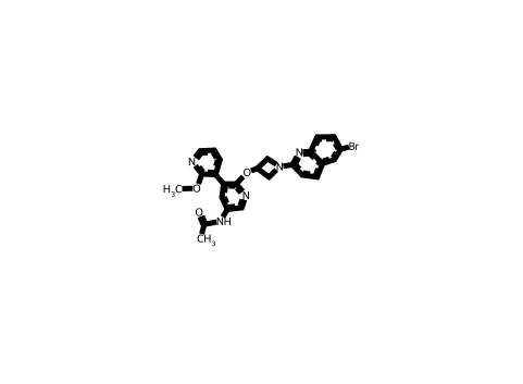 COc1ncccc1-c1cc(NC(C)=O)cnc1OC1CN(c2ccc3cc(Br)ccc3n2)C1